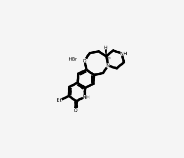 Br.CCc1cc2cc3c(cc2[nH]c1=O)CN1CCNC[C@H]1CCO3